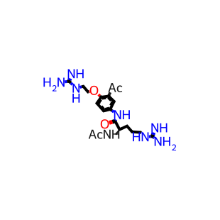 CC(=O)N[C@H](CCCNC(=N)N)C(=O)Nc1ccc(OCCNC(=N)N)c(C(C)=O)c1